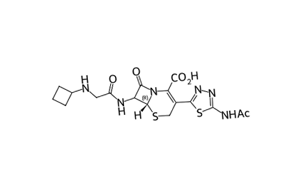 CC(=O)Nc1nnc(C2=C(C(=O)O)N3C(=O)C(NC(=O)CNC4CCC4)[C@H]3SC2)s1